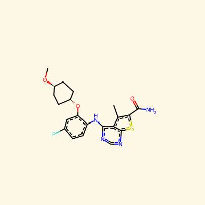 CO[C@H]1CC[C@H](Oc2cc(F)ccc2Nc2ncnc3sc(C(N)=O)c(C)c23)CC1